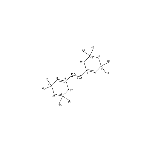 CC1(C)C=C(SSC2=CC(C)(C)CC(C)(C)C2)CC(C)(C)C1